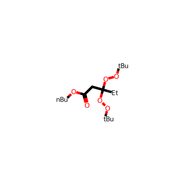 CCCCOC(=O)CC(CC)(OOC(C)(C)C)OOC(C)(C)C